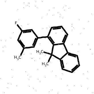 Cc1cc(F)cc(-c2cccc3c2C(C)(C)c2ccccc2-3)c1